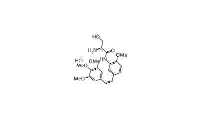 COc1ccc(/C=C\c2cc(OC)c(OC)c(OC)c2)cc1NC(=O)[C@@H](N)CO.Cl